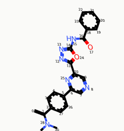 C=C(c1ccc(-c2cncc(-c3nnc(NC(=O)c4ccccc4)o3)n2)cc1)N(C)C